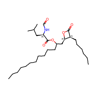 CCCCCCCCCCCC(C[C@H]1OC(=O)[C@H]1CCCCCC)OC(=O)[C@@H](CC(C)C)NC=O